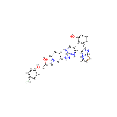 Oc1cccc(-c2nc3sccn3c2-c2ccnc(N[C@@H]3CCCN(CC(O)COc4ccc(Cl)cc4)C3)n2)c1